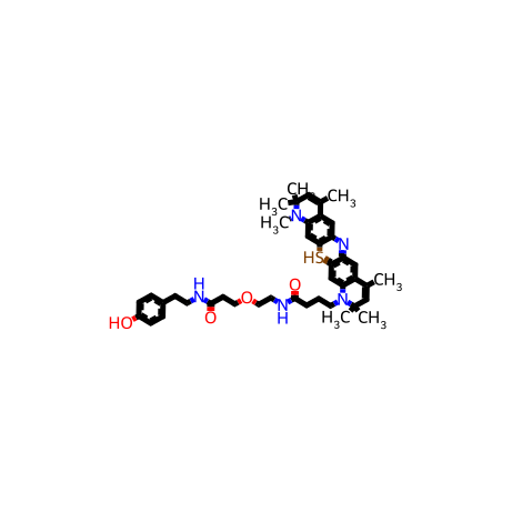 CC1=CC(C)(C)N(C)c2cc3c(cc21)N=c1cc2c(cc1=[SH]3)N(CCCC(=O)NCCOCCC(=O)NCCc1ccc(O)cc1)C(C)(C)C=C2C